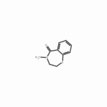 CN1CCSc2ccccc2C1=O